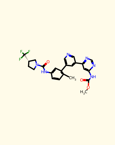 COC(=O)Nc1cc(-c2cncc(-c3cc(NC(=O)N4CC[C@H](C(F)(F)F)C4)ccc3C)c2)ncn1